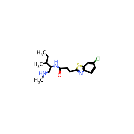 CCC(C)C(CNC)NC(=O)CCc1nc2ccc(Cl)cc2s1